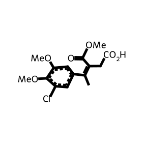 COC(=O)C(CC(=O)O)=C(C)c1cc(Cl)c(OC)c(OC)c1